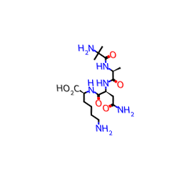 C[C@H](NC(=O)C(C)(C)N)C(=O)N[C@@H](CC(N)=O)C(=O)N[C@@H](CCCCN)C(=O)O